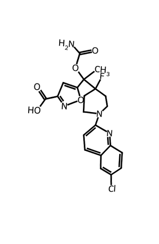 CC(OC(N)=O)(c1cc(C(=O)O)no1)C1(F)CCN(c2ccc3cc(Cl)ccc3n2)CC1